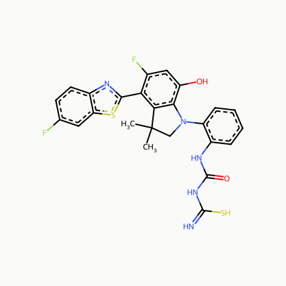 CC1(C)CN(c2ccccc2NC(=O)NC(=N)S)c2c(O)cc(F)c(-c3nc4ccc(F)cc4s3)c21